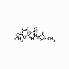 COC(=O)/C=C\n1nnn(C2CN(C)C2)c1=O